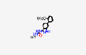 CCCNC(=O)Nc1n[nH]c2cc(-c3ccccc3OC)ccc12